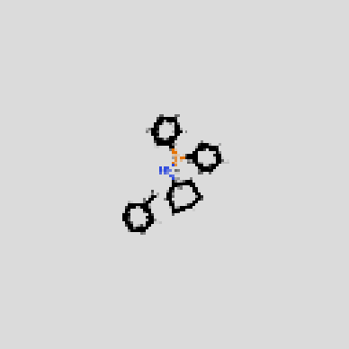 c1ccc(C[C@H]2CCCC[C@@H]2NP(c2ccccc2)c2ccccc2)cc1